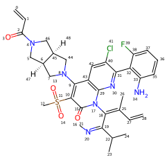 C=CC(=O)N1C[C@@H]2CN(c3c(S(C)(=O)=O)c(=O)n(C(/C(=N\C)C(C)C)=C(\C)C=C)c4nc(-c5c(N)cccc5F)c(Cl)cc34)C[C@@H]2C1